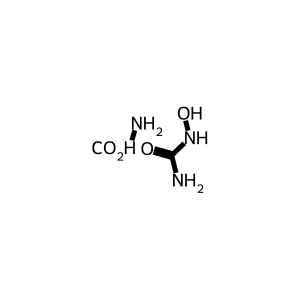 NC(=O)NO.NC(=O)O